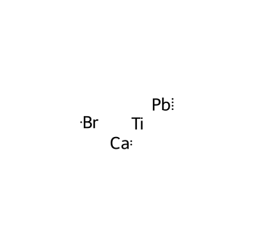 [Br].[Ca].[Pb].[Ti]